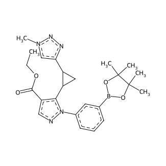 CCOC(=O)c1cnn(-c2cccc(B3OC(C)(C)C(C)(C)O3)c2)c1C1CC1c1cn(C)nn1